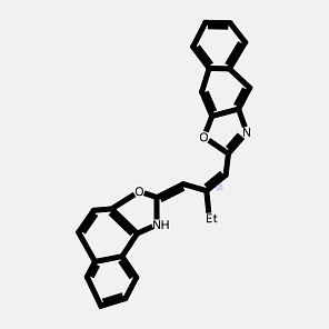 CC/C(C=C1Nc2c(ccc3ccccc23)O1)=C/c1nc2cc3ccccc3cc2o1